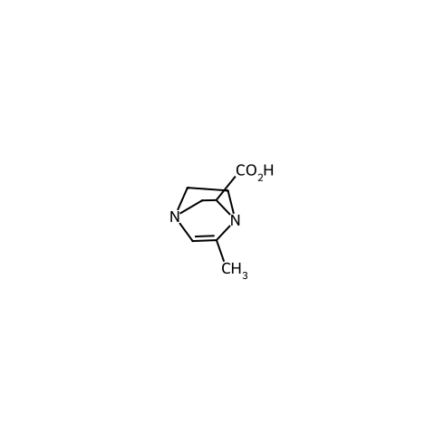 CC1=CN2CCN1C(C(=O)O)C2